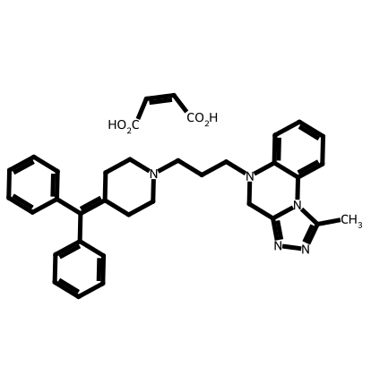 Cc1nnc2n1-c1ccccc1N(CCCN1CCC(=C(c3ccccc3)c3ccccc3)CC1)C2.O=C(O)/C=C\C(=O)O